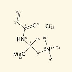 C=CC(=O)NC(C)(C[N+](C)(C)C)OC.[Cl-]